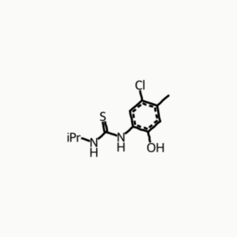 Cc1cc(O)c(NC(=S)NC(C)C)cc1Cl